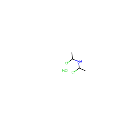 CC(Cl)NC(C)Cl.Cl